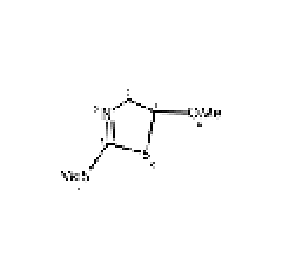 COC1CN=C(SC)S1